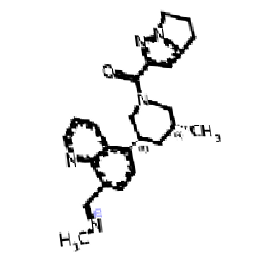 C/N=C/c1ccc([C@H]2C[C@@H](C)CN(C(=O)c3cc4n(n3)CCC4)C2)c2cccnc12